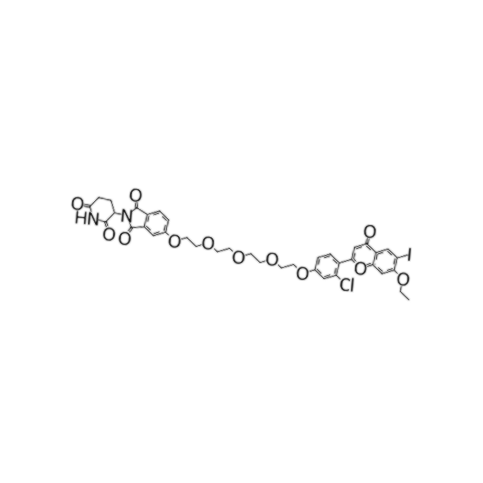 CCOc1cc2oc(-c3ccc(OCCOCCOCCOCCOc4ccc5c(c4)C(=O)N(C4CCC(=O)NC4=O)C5=O)cc3Cl)cc(=O)c2cc1I